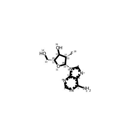 Nc1ncnc2c1ncn2[C@@H]1O[C@H](CO)C(O)[C@@H]1F